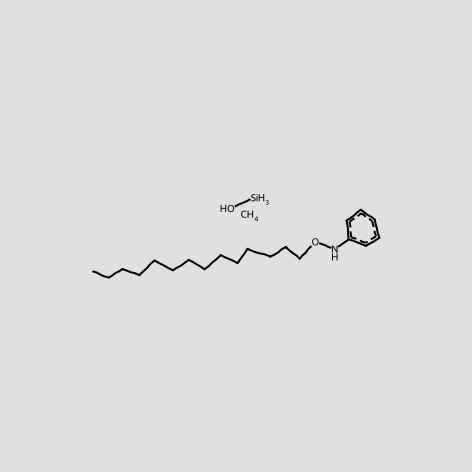 C.CCCCCCCCCCCCCCONc1ccccc1.O[SiH3]